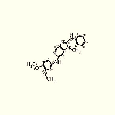 COc1ccc(Nc2cc3c(cn2)nc(Nc2ccccc2)n3C)cc1OC